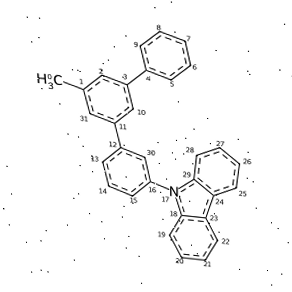 Cc1cc(-c2ccccc2)cc(-c2cccc(-n3c4ccccc4c4ccccc43)c2)c1